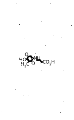 CC1=C(O)C(=O)C=C(NCCCC(=O)O)C1=O